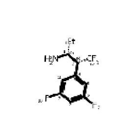 CC[C@@H](N)[C@@H](c1cc(F)cc(F)c1)C(F)(F)F